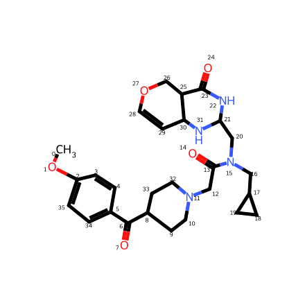 COc1ccc(C(=O)C2CCN(CC(=O)N(CC3CC3)CC3NC(=O)C4COC=CC4N3)CC2)cc1